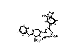 O=C(CCC1CCN(Cc2ccccc2)CC1)c1ccc2c(c1)NCC2.O=C(O)/C=C/C(=O)O